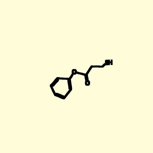 O=C(CCS)Oc1ccccc1